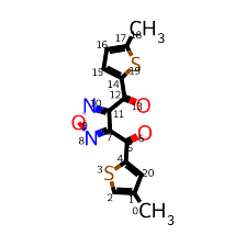 Cc1csc(C(=O)c2nonc2C(=O)c2ccc(C)s2)c1